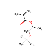 C=C(C)C(=O)OC(C)[SiH2]OC(C)(C)C